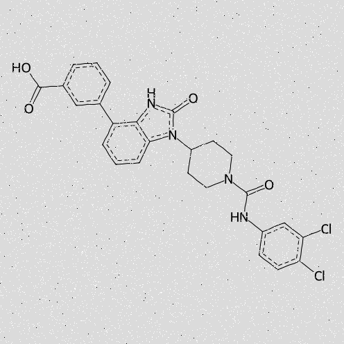 O=C(O)c1cccc(-c2cccc3c2[nH]c(=O)n3C2CCN(C(=O)Nc3ccc(Cl)c(Cl)c3)CC2)c1